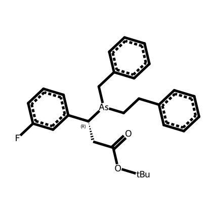 CC(C)(C)OC(=O)C[C@H](c1cccc(F)c1)[As](CCc1ccccc1)Cc1ccccc1